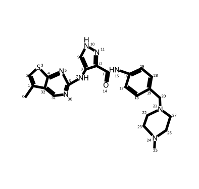 Cc1csc2nc(Nc3c[nH]nc3C(=O)Nc3ccc(CN4CCN(C)CC4)cc3)ncc12